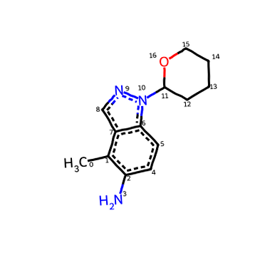 Cc1c(N)ccc2c1cnn2C1CCCCO1